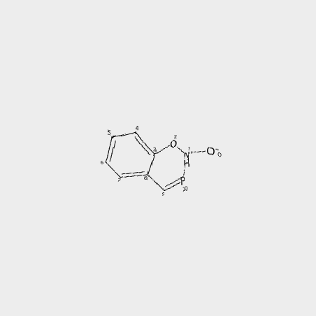 [O-][NH+]1Oc2ccccc2C=P1